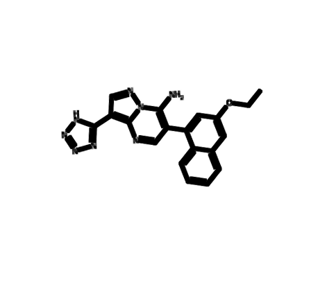 CCOc1cc(-c2cnc3c(-c4nnn[nH]4)cnn3c2N)c2ccccc2c1